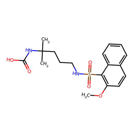 COc1ccc2ccccc2c1S(=O)(=O)NCCCC(C)(C)NC(=O)O